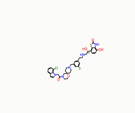 O=C(Cn1ccc2cccc(Cl)c21)N1CCOC2(CCN(Cc3cc(F)cc(CCNC[C@H](O)c4ccc(O)c5[nH]c(=O)sc45)c3)CC2)C1